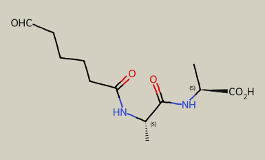 C[C@H](NC(=O)[C@H](C)NC(=O)CCCCC=O)C(=O)O